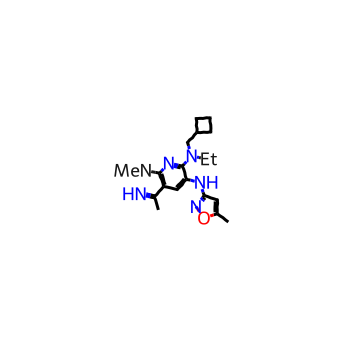 CCN(CC1CCC1)c1nc(NC)c(C(C)=N)cc1Nc1cc(C)on1